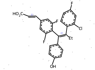 CC/C(=C(\c1ccc(O)cc1)c1c(F)cc(/C=C/C(=O)O)cc1F)c1ccc(F)cc1Cl